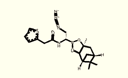 CC1(C)[C@@H]2C[C@H]1C1OB([C@@H](CN=[N+]=[N-])NC(=O)Cc3cccs3)O[C@@]1(C)C2